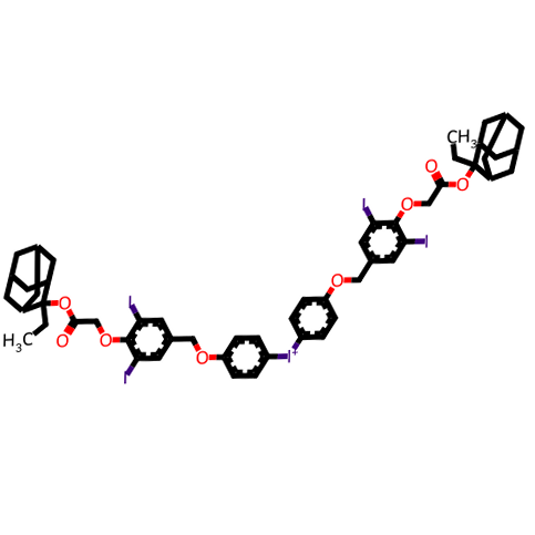 CCC1(OC(=O)COc2c(I)cc(COc3ccc([I+]c4ccc(OCc5cc(I)c(OCC(=O)OC6(CC)C7CC8CC(C7)CC6C8)c(I)c5)cc4)cc3)cc2I)C2CC3CC(C2)CC1C3